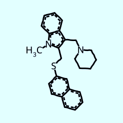 Cn1c(CSc2ccc3ccccc3c2)c(CN2CCCCC2)c2ccccc21